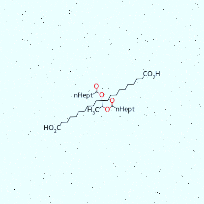 CCCCCCCC(=O)OC(C)C(CCCCCCCCCC(=O)O)(CCCCCCCCCC(=O)O)OC(=O)CCCCCCC